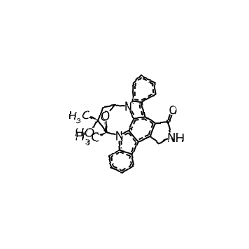 C[C@@]1(O)CC2O[C@]1(C)n1c3ccccc3c3c4c(c5c6ccccc6n2c5c31)C(=O)NC4